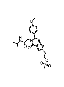 COc1ccc(-c2cn3cc(CCOS(C)(=O)=O)cc3c(=O)n2CC(=O)NC(C)C)cc1